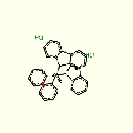 Cl.Cl.[CH2]=[Zr]([c]1ccccc1)([c]1ccccc1)([CH]1C=Cc2ccccc21)[CH]1c2ccccc2-c2ccccc21